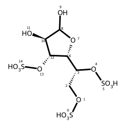 O=S(=O)(O)OC[C@@H](OS(=O)(=O)O)[C@H]1OC(O)[C@H](O)[C@H]1OS(=O)(=O)O